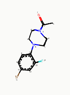 CC(=O)N1CCN(c2ccc(Br)cc2F)CC1